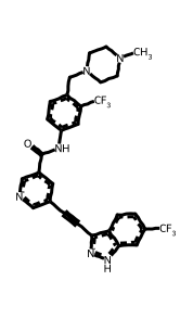 CN1CCN(Cc2ccc(NC(=O)c3cncc(C#Cc4n[nH]c5cc(C(F)(F)F)ccc45)c3)cc2C(F)(F)F)CC1